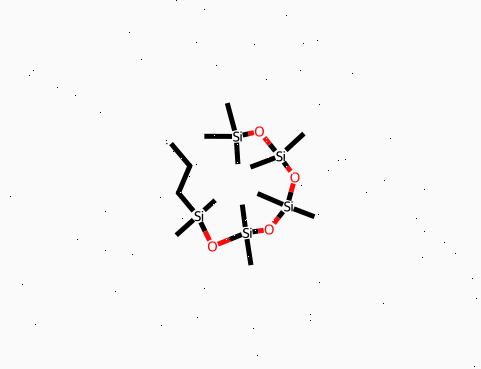 [CH2]CC[Si](C)(C)O[Si](C)(C)O[Si](C)(C)O[Si](C)(C)O[Si](C)(C)C